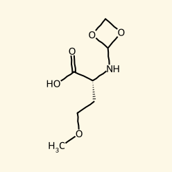 COCC[C@@H](NC1OCO1)C(=O)O